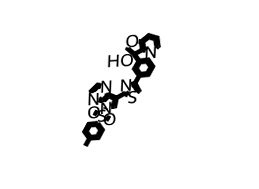 Cc1ccc(S(=O)(=O)n2cc(-c3nc(-c4cccc([C@]5(O)COc6cccnc65)c4)cs3)c3nccnc32)cc1